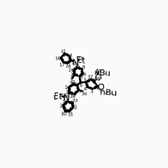 CCCCOc1ccc(C(c2ccc(N(CC)c3ccccc3)cc2C)c2ccc(N(CC)c3ccccc3)cc2C)cc1OCCCC